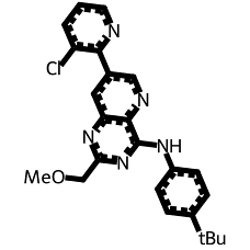 COCc1nc(Nc2ccc(C(C)(C)C)cc2)c2ncc(-c3ncccc3Cl)cc2n1